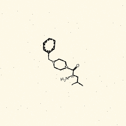 CC(C)C[C@@H](N)C(=O)N1CCN(Cc2ccccc2)CC1